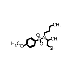 CCCCN(C(C)CS)S(=O)(=O)c1ccc(OC)cc1